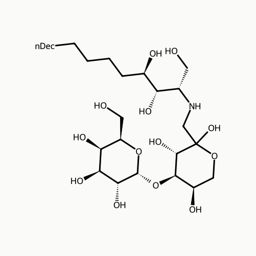 CCCCCCCCCCCCCC[C@@H](O)[C@@H](O)[C@H](CO)NCC1(O)OC[C@@H](O)[C@@H](O[C@H]2O[C@H](CO)[C@H](O)[C@H](O)[C@H]2O)[C@@H]1O